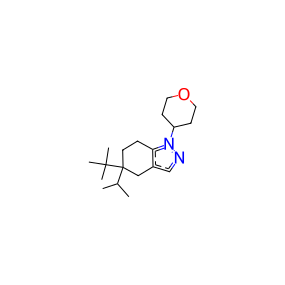 CC(C)C1(C(C)(C)C)CCc2c(cnn2C2CCOCC2)C1